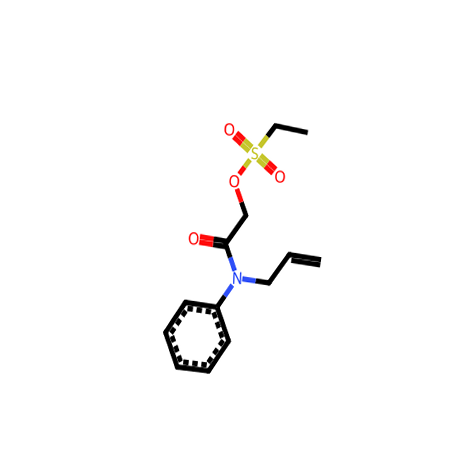 C=CCN(C(=O)COS(=O)(=O)CC)c1ccccc1